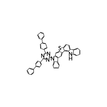 c1ccc(-c2ccc(-c3nc(-c4ccc(-c5ccccc5)cc4)nc(-n4c5ccccc5c5cc6c(cc54)sc4ccc5c7ccccc7[nH]c5c46)n3)cc2)cc1